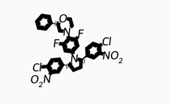 O=[N+]([O-])c1cc([C@H]2CC[C@H](c3ccc(Cl)c([N+](=O)[O-])c3)N2c2cc(F)c(N3CCO[C@@H](c4ccccc4)C3)c(F)c2)ccc1Cl